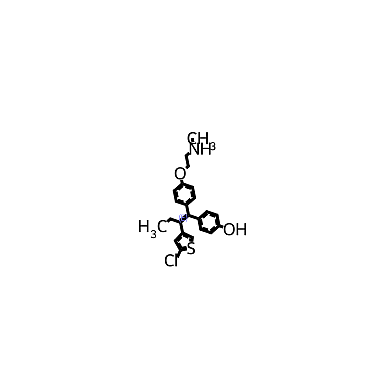 CC/C(=C(/c1ccc(O)cc1)c1ccc(OCCNC)cc1)c1csc(Cl)c1